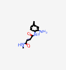 CNC(=O)/C=C/C(=O)Nc1ccc(C)cc1N